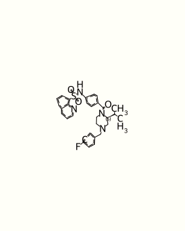 CC(C)[C@H]1CN(Cc2ccc(F)cc2)CCN1C(=O)c1ccc(NS(=O)(=O)c2cccc3cccnc23)cc1